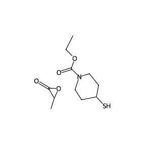 CC1OC1=O.CCOC(=O)N1CCC(S)CC1